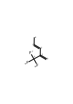 C=C(C=CC)C(F)(F)F